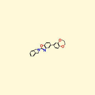 c1ccc2c(c1)CN(c1nc3cc(-c4ccc5c(c4)OCCCO5)ccc3o1)C2